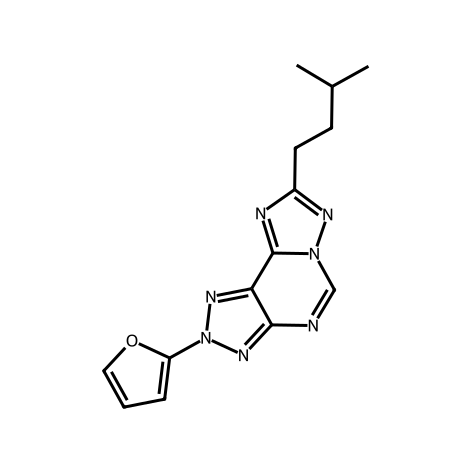 CC(C)CCc1nc2c3nn(-c4ccco4)nc3ncn2n1